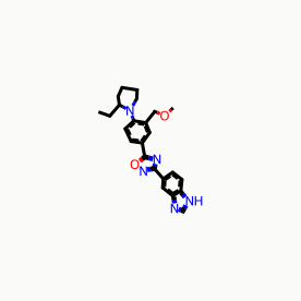 CCC1CCCCN1c1ccc(-c2nc(-c3ccc4[nH]cnc4c3)no2)cc1COC